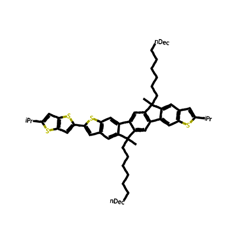 CCCCCCCCCCCCCCCCC1(C)c2cc3c(cc2-c2cc4sc(-c5cc6sc(C(C)C)cc6s5)cc4cc21)C(C)(CCCCCCCCCCCCCCCC)c1cc2cc(C(C)C)sc2cc1-3